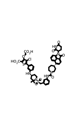 CC1(C)C[C@@H](Nc2cccc(-c3sc(C(=O)O)c(OCC(=O)O)c3Cl)c2)CCN1S(=O)(=O)Cc1cccc(NC(=O)N2CCC[C@H](c3ccc4c5c(cccc35)N(C3CCC(=O)NC3=O)C4=O)CC2)c1